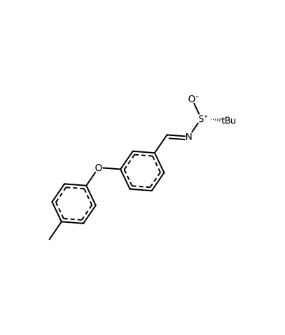 Cc1ccc(Oc2cccc(/C=N/[S@+]([O-])C(C)(C)C)c2)cc1